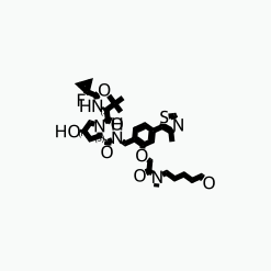 Cc1ncsc1-c1ccc(CNC(=O)[C@@H]2C[C@@H](O)CN2C(=O)[C@@H](NC(=O)C2(F)CC2)C(C)(C)C)c(OCC(=O)N(C)CCCCC=O)c1